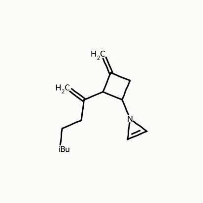 C=C(CCC(C)CC)C1C(=C)CC1N1C=C1